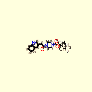 CC(C)(C)OC(=O)N1CCN(C(=O)Cc2cnc3ccccc3c2)CC1